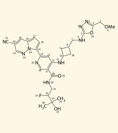 COCc1nnc(NCC2CC(Nc3cc(-c4ccc5cc(C#N)cnn45)ncc3C(=O)NCC(F)C(C)(C)O)C2)o1